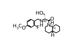 COc1ccc(CN[C@H](CO)C(=O)N2CCC[C@H]3CCCC[C@@H]32)c(F)c1